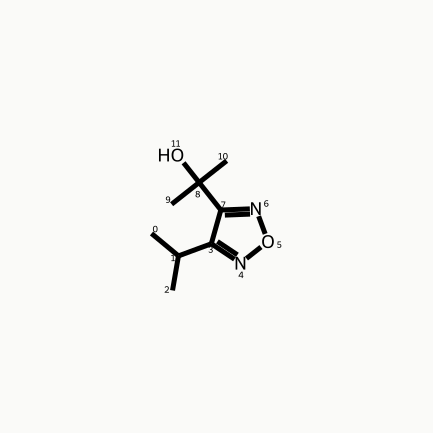 CC(C)c1nonc1C(C)(C)O